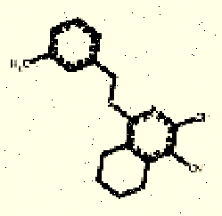 Cc1cccc(CSc2nc(O)c(C#N)c3c2CCCC3)c1